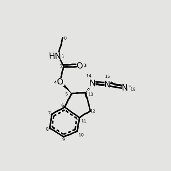 CNC(=O)O[C@@H]1c2ccccc2C[C@H]1N=[N+]=[N-]